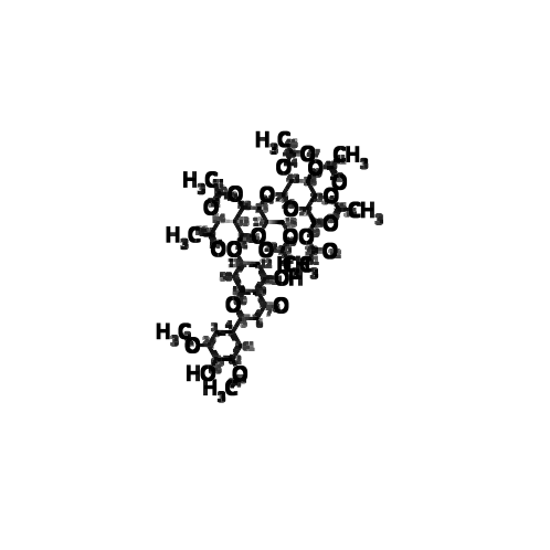 COc1cc(-c2cc(=O)c3c(O)cc(O[C@@H]4O[C@H](COC(C)=O)[C@@H](OC5O[C@H](COC(C)=O)[C@@H](OC(C)=O)[C@H](OC(C)=O)[C@H]5OC(C)=O)[C@H](OC(C)=O)[C@H]4CC(C)=O)cc3o2)cc(OC)c1O